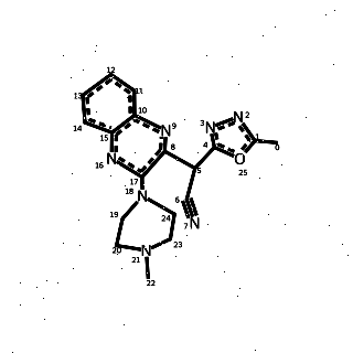 Cc1nnc(C(C#N)c2nc3ccccc3nc2N2CCN(C)CC2)o1